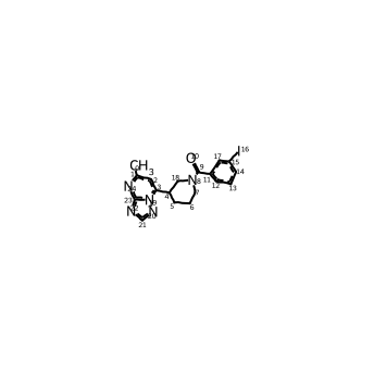 Cc1cc(C2CCCN(C(=O)c3cccc(I)c3)C2)n2ncnc2n1